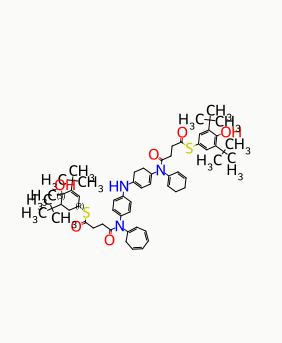 CC(C)(C)C1=C[C@H](SC(=O)CCC(=O)N(C2=CC=CC=CC2)c2ccc(NC3=CC=C(N(C(=O)CCC(=O)Sc4cc(C(C)(C)C)c(O)c(C(C)(C)C)c4)C4=CCCC=C4)CC3)cc2)CC(C(C)(C)C)[C@]1(C)O